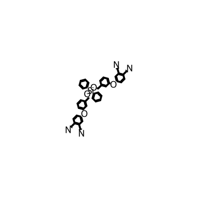 N#Cc1ccc(Oc2cccc(CO[Si](OCc3cccc(Oc4ccc(C#N)c(C#N)c4)c3)(c3ccccc3)c3ccccc3)c2)cc1C#N